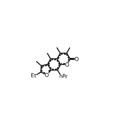 CCCc1c2oc(CC)c(C)c2c(C)c2c(C)c(C)c(=O)oc12